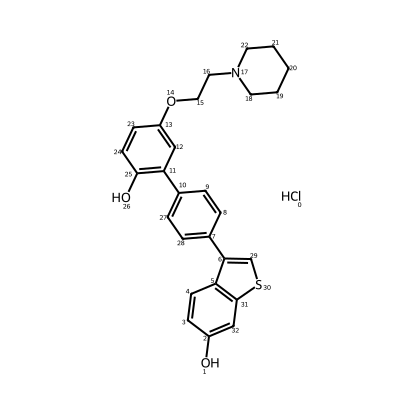 Cl.Oc1ccc2c(-c3ccc(-c4cc(OCCN5CCCCC5)ccc4O)cc3)csc2c1